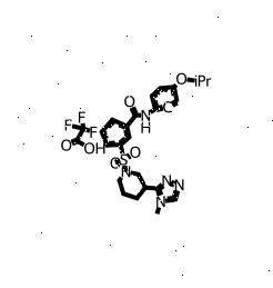 CC(C)Oc1ccc(NC(=O)c2cccc(S(=O)(=O)N3CCCC(c4nncn4C)C3)c2)cc1.O=C(O)C(F)(F)F